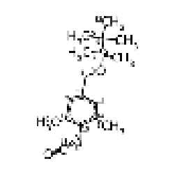 Cc1cc(CO[Si](C)(C)C(C)(C)C)cc(C)c1N=C=O